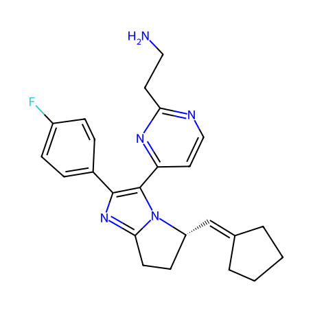 NCCc1nccc(-c2c(-c3ccc(F)cc3)nc3n2[C@H](C=C2CCCC2)CC3)n1